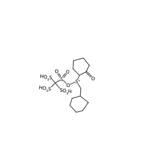 O=C1CCCCC1[S+](CC1CCCCC1)OS(=O)(=O)C(S(=O)(=O)O)(S(=O)(=O)O)S(=O)(=O)O